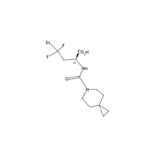 CCC(F)(F)C[C@H](NC(=O)N1CCC2(CC1)CC2)C(=O)O